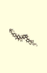 C=CC(=O)Nc1cccc(-c2cnn3cnc(Nc4ccc(N5CCN(CCOC)CC5)c(F)c4F)nc23)c1